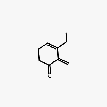 C=C1C(=O)CCC=C1CI